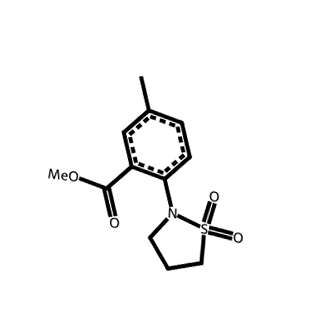 COC(=O)c1cc(C)ccc1N1CCCS1(=O)=O